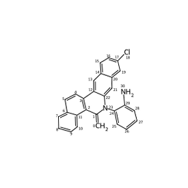 C=C1c2c(ccc3ccccc23)-c2cc3ccc(Cl)cc3cc2N1c1ccccc1N